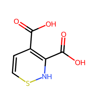 O=C(O)C1=C(C(=O)O)NSC=C1